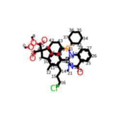 COC(=O)C1(C(=O)OC)Cc2c(C)c(CCCCl)c(B3N(C)C(=O)c4ccccc4N3P(C3CCCCC3)C3CCCCC3)c(C)c2C1